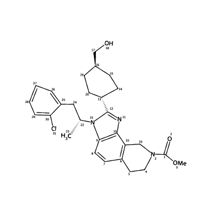 COC(=O)N1CCc2ccc3c(nc([C@H]4CC[C@H](CO)CC4)n3[C@H](C)Cc3ccccc3Cl)c2C1